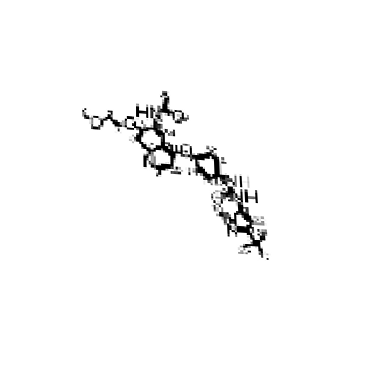 COCCOc1cc2nccc(Oc3ccc(NC(=O)Nc4cc(C(C)(C)C)nn4C)cc3)c2cc1NC(C)=O